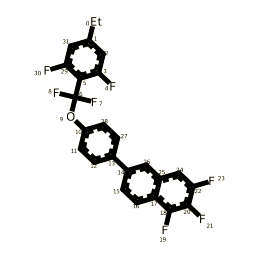 CCc1cc(F)c(C(F)(F)Oc2ccc(-c3ccc4c(F)c(F)c(F)cc4c3)cc2)c(F)c1